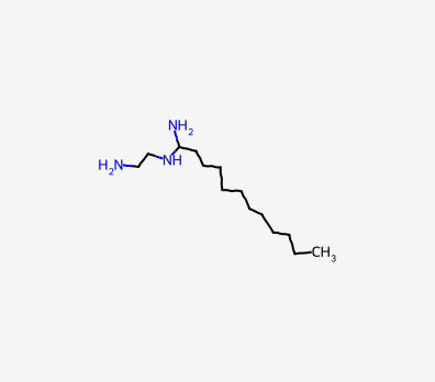 CCCCCCCCCCCC(N)NCCN